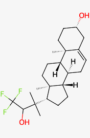 CC(C)(C(O)C(F)(F)F)[C@H]1CC[C@H]2[C@@H]3CC=C4C[C@@H](O)CC[C@]4(C)[C@H]3CC[C@]12C